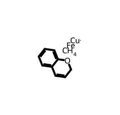 C.C1=Cc2ccccc2OC1.[Cu].[Fe]